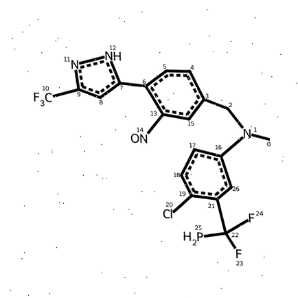 CN(Cc1ccc(-c2cc(C(F)(F)F)n[nH]2)c(N=O)c1)c1ccc(Cl)c(C(F)(F)P)c1